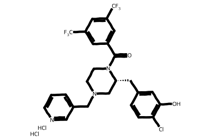 Cl.Cl.O=C(c1cc(C(F)(F)F)cc(C(F)(F)F)c1)N1CCN(Cc2cccnc2)C[C@H]1Cc1ccc(Cl)c(O)c1